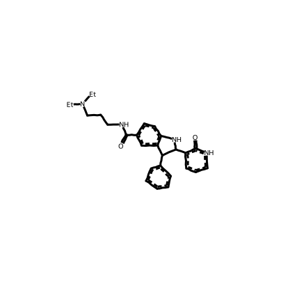 CCN(CC)CCCNC(=O)c1ccc2c(c1)C(c1ccccc1)C(c1ccc[nH]c1=O)N2